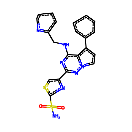 NS(=O)(=O)c1nc(-c2nc(NCc3ccccn3)c3c(-c4ccccc4)ccn3n2)cs1